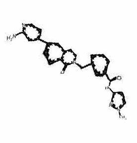 Cn1ccc(NC(=O)c2cccc(Cn3ccc4cc(-c5ccnc(N)c5)ccc4c3=O)c2)n1